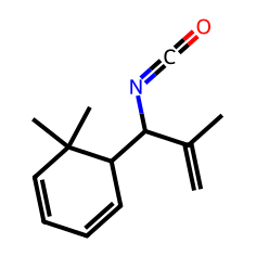 C=C(C)C(N=C=O)C1C=CC=CC1(C)C